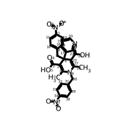 CC1=C(C(=O)O)C(Cc2ccc([N+](=O)[O-])cc2)(c2cccnc2)C(C(=O)O)=C(C)N1Cc1ccc([N+](=O)[O-])cc1